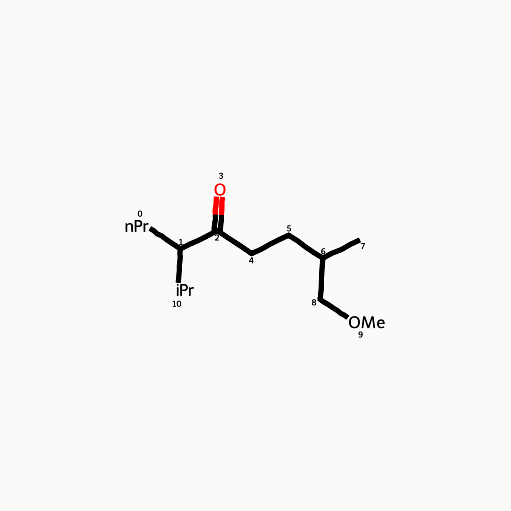 CCCC(C(=O)CCC(C)COC)C(C)C